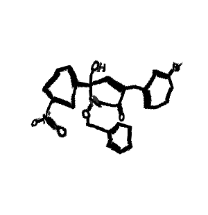 O=C1C(c2cccc(Br)c2)=CC(O)(c2cccc([N+](=O)[O-])c2)N1OCc1ccccc1